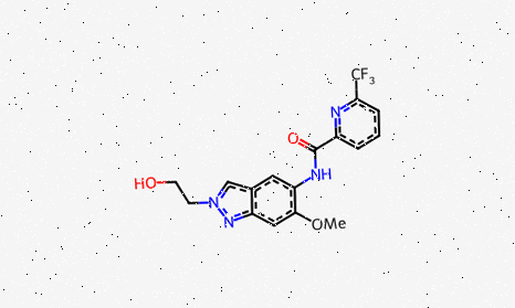 COc1cc2nn(CCO)cc2cc1NC(=O)c1cccc(C(F)(F)F)n1